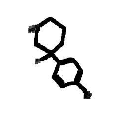 FC1(c2ccc(Br)cc2)CCCNC1